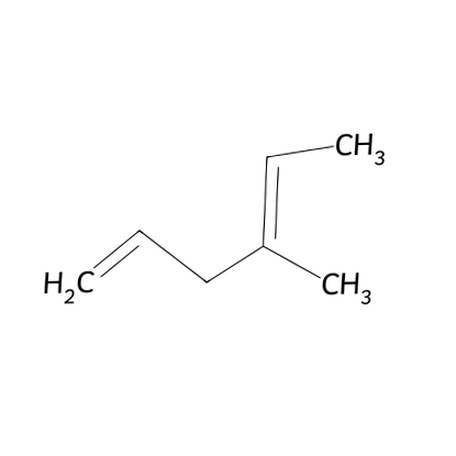 C=CCC(C)=CC